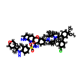 [2H]C([2H])(Nc1ccc(S(=O)(=O)NC(=O)c2ccc(N3C([2H])([2H])C([2H])([2H])N(C([2H])([2H])C4=C(c5ccc(Cl)cc5)CC(C)(C)CC4)C([2H])([2H])C3([2H])[2H])cc2Oc2cnc3[nH]ccc3c2)cc1[N+](=O)[O-])C1CCOCC1